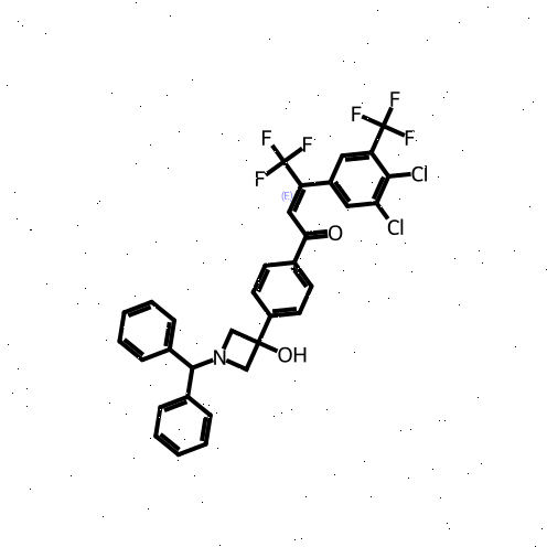 O=C(/C=C(\c1cc(Cl)c(Cl)c(C(F)(F)F)c1)C(F)(F)F)c1ccc(C2(O)CN(C(c3ccccc3)c3ccccc3)C2)cc1